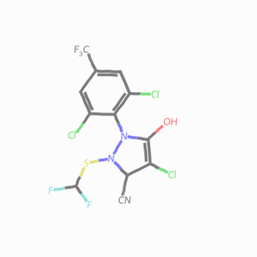 N#CC1C(Cl)=C(O)N(c2c(Cl)cc(C(F)(F)F)cc2Cl)N1SC(F)F